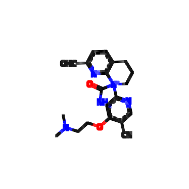 CN(C)CCOc1cc([N+]2(C(N)=O)CCCc3ccc(C=O)nc32)ncc1C#N